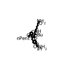 CCCCCC(=O)N1C(Cc2ccc(OC(=O)C(N)C(C)C)cc2)C(=O)N(C(C(=O)NCCCCCC(N)=O)C(C)CC)C12CCCC2